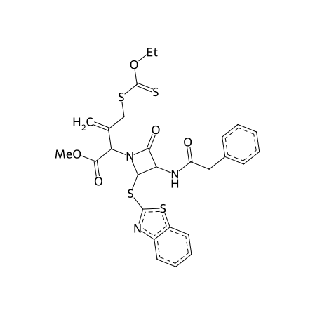 C=C(CSC(=S)OCC)C(C(=O)OC)N1C(=O)C(NC(=O)Cc2ccccc2)C1Sc1nc2ccccc2s1